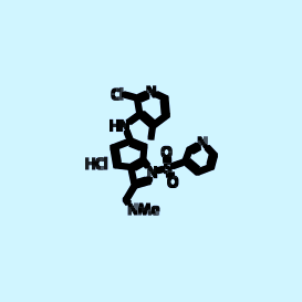 CNCc1cn(S(=O)(=O)c2cccnc2)c2cc(Nc3c(C)ccnc3Cl)ccc12.Cl